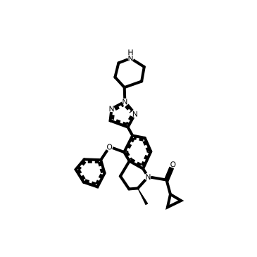 C[C@H]1CCc2c(ccc(-c3cnn(C4CCNCC4)n3)c2Oc2ccccc2)N1C(=O)C1CC1